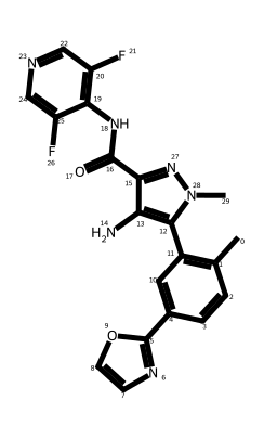 Cc1ccc(-c2ncco2)cc1-c1c(N)c(C(=O)Nc2c(F)cncc2F)nn1C